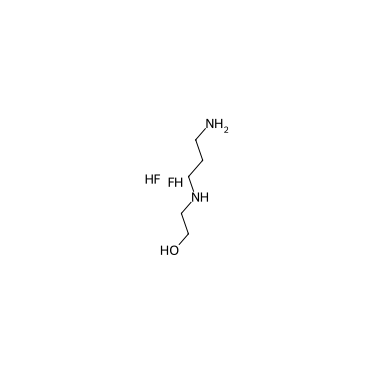 F.F.NCCCNCCO